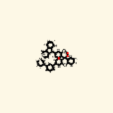 c1cncc(-c2cccc(-c3ccc4c(c3)Oc3ccccc3C43c4ccccc4Oc4cc(C5c6ccccc6-c6cnccc65)ccc43)c2)c1